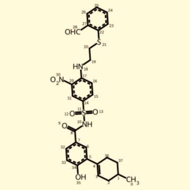 CC1CC=C(c2cc(C(=O)NS(=O)(=O)c3ccc(NCCSc4ccccc4C=O)c([N+](=O)[O-])c3)ccc2O)CC1